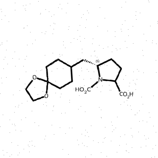 O=C(O)C1CC[C@@H](CC2CCC3(CC2)OCCO3)N1C(=O)O